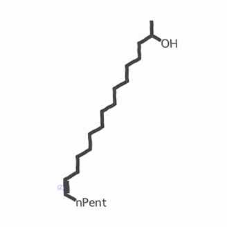 CCCCC/C=C\CCCCCCCCCCCCC(C)O